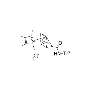 CC1=C(C)C(C)[Si](C23C4C5CC26C2C5(C(=O)[NH][Ti+2])C26C43)=C1C.[Cl-].[Cl-]